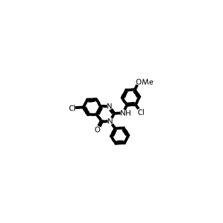 COc1ccc(Nc2nc3ccc(Cl)cc3c(=O)n2-c2ccccc2)c(Cl)c1